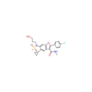 CNC(=O)c1c(-c2ccc(F)cc2)oc2cc(N(CCCO)S(C)(=O)=O)c(C3CC3)cc12